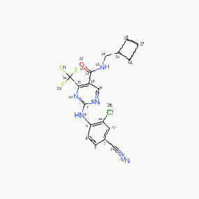 N#Cc1ccc(Nc2ncc(C(=O)NCC3CCC3)c(C(F)(F)F)n2)c(Cl)c1